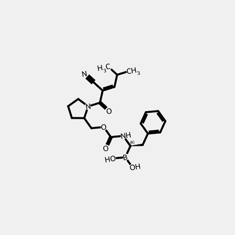 CC(C)C=C(C#N)C(=O)N1CCCC1COC(=O)N[C@@H](Cc1ccccc1)B(O)O